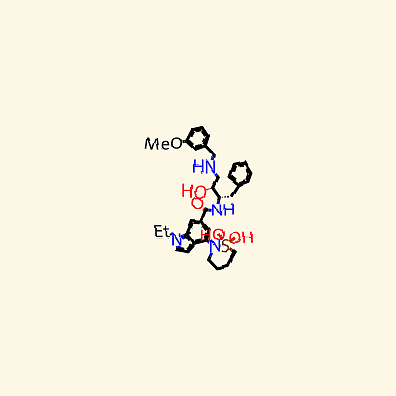 CCn1ccc2c(N3CCCCS3(O)O)cc(C(=O)N[C@@H](Cc3ccccc3)[C@H](O)CNCc3cccc(OC)c3)cc21